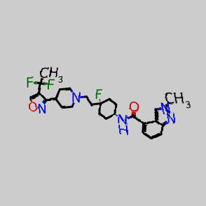 Cn1cc2c(C(=O)N[C@H]3CC[C@](F)(CCN4CCC(c5nocc5C(C)(F)F)CC4)CC3)cccc2n1